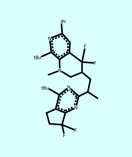 CC(C)c1cc2c(c(C(C)(C)C)n1)N(C)CC(CC(C)c1nc(C(C)(C)C)c3c(n1)C(F)(F)CC3)C2(F)F